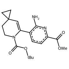 COC(=O)c1ccc(C2=CC3(CCN2C(=O)OC(C)(C)C)CC3)c(N)n1